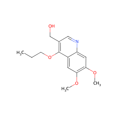 CCCOc1c(CO)cnc2cc(OC)c(OC)cc12